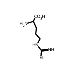 CCC(=N)NCCCC(N)C(=O)O